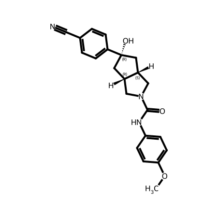 COc1ccc(NC(=O)N2C[C@@H]3C[C@@](O)(c4ccc(C#N)cc4)C[C@@H]3C2)cc1